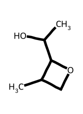 CC(O)[C]1OCC1C